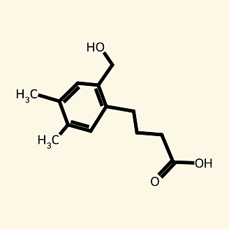 Cc1cc(CO)c(CCCC(=O)O)cc1C